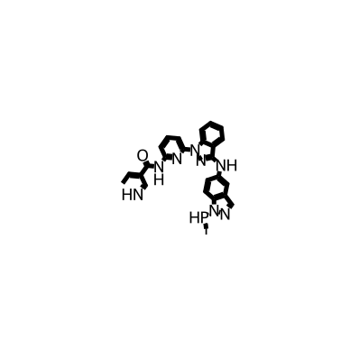 C/C=C(\C=N)C(=O)Nc1cccc(-n2nc(Nc3ccc4c(cnn4PI)c3)c3ccccc32)n1